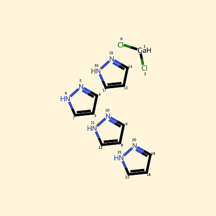 [Cl][GaH][Cl].c1cn[nH]c1.c1cn[nH]c1.c1cn[nH]c1.c1cn[nH]c1